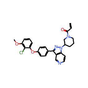 C=CC(=O)N1CCCC(n2nc(-c3ccc(Oc4cccc(OC)c4Cl)cc3)c3cnccc32)C1